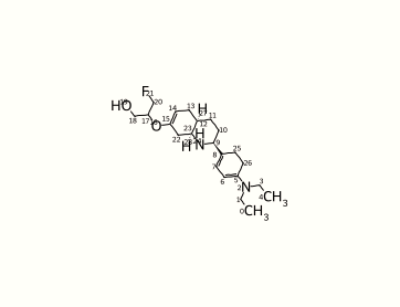 CCN(CC)C1=CC=C([C@@H]2CC[C@@H]3CC=C(OC(CO)CF)C[C@@H]3N2)CC1